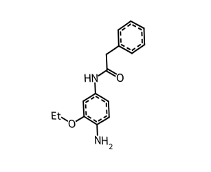 CCOc1cc(NC(=O)Cc2ccccc2)ccc1N